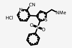 CNCc1cc(-c2cccnc2C#N)c(S(=O)(=O)c2ccccc2)s1.Cl